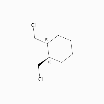 ClC[C@@H]1CCCC[C@H]1CCl